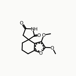 COc1oc2c(c1OC)C1(CCC2)CC(=O)NC1=O